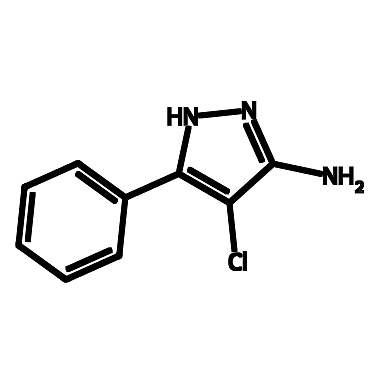 Nc1n[nH]c(-c2ccccc2)c1Cl